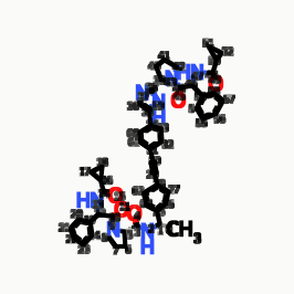 C[C@H](NC(=O)[C@@H]1CCCN1C(=O)[C@H](NC(=O)C1CC1)c1ccccc1)c1ccc(C#Cc2ccc(-c3cnc([C@@H]4CCCN4C(=O)[C@H](NC(=O)C4CC4)c4ccccc4)[nH]3)cc2)cc1